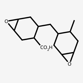 CC1CC2OC2CC1CC1CC2OC2CC1C(=O)O